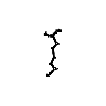 CCCC[SiH](CC)OCCCOCC